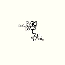 CCOCC(C)(C)C1(OC(=O)COC(=O)C(C)(C)CC)C2CC3CC(C2)CC1C3